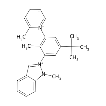 Cc1c(-[n+]2ccccc2C)cc(C(C)(C)C)cc1-[n+]1cc2ccccc2n1C